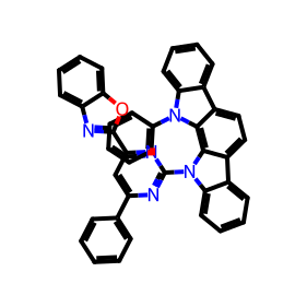 c1ccc(-c2cc(-c3nc4ccccc4o3)nc(-n3c4ccccc4c4ccc5c6ccccc6n(-c6ccccc6)c5c43)n2)cc1